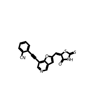 N#Cc1ccccc1C#Cc1cncc2cc(/C=C3/SC(=S)NC3=O)oc12